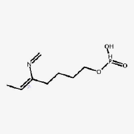 C=N/C(=C\C)CCCCO[PH](=O)O